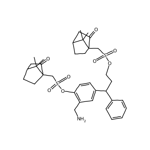 CC1(C)C2CCC1(CS(=O)(=O)OCCC(c1ccccc1)c1ccc(OS(=O)(=O)CC34CCC(CC3=O)C4(C)C)c(CN)c1)C(=O)C2